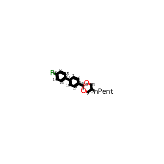 CCCCCC1COC(c2ccc(-c3ccc(F)cc3)cc2)OC1